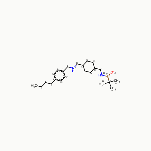 CCCCc1ccc(CNCC2CCC(CN[S+]([O-])C(C)(C)C)CC2)cc1